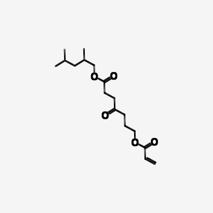 C=CC(=O)OCCCC(=O)CCC(=O)OCC(C)CC(C)C